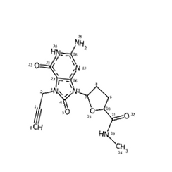 C#CCn1c(=O)n(C2CCC(C(=O)NC)O2)c2nc(N)[nH]c(=O)c21